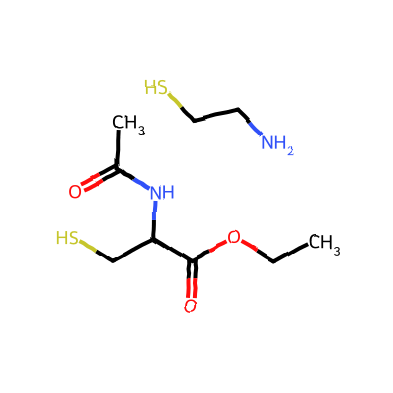 CCOC(=O)C(CS)NC(C)=O.NCCS